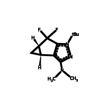 CN(C)c1nn(C(C)(C)C)c2c1[C@H]1C[C@H]1C2(F)F